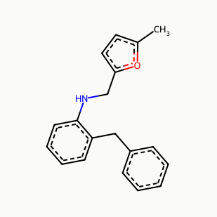 Cc1ccc(CNc2ccccc2Cc2ccccc2)o1